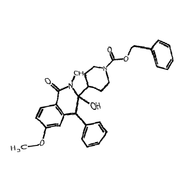 COc1ccc2c(c1)C(c1ccccc1)C(O)(C1CCN(C(=O)OCc3ccccc3)CC1)N(C)C2=O